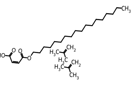 C=C(C)C.C=C(C)C.CCCCCCCCCCCCCCCCCCOC(=O)/C=C\C(=O)O